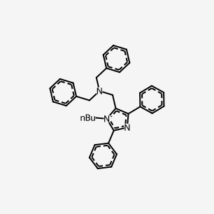 CCCCn1c(-c2ccccc2)nc(-c2ccccc2)c1CN(Cc1ccccc1)Cc1ccccc1